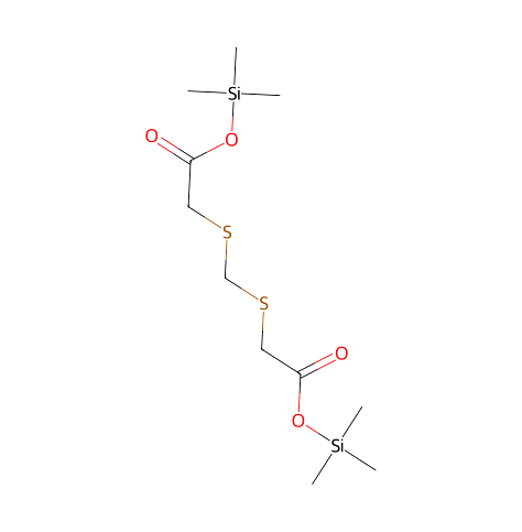 C[Si](C)(C)OC(=O)CSCSCC(=O)O[Si](C)(C)C